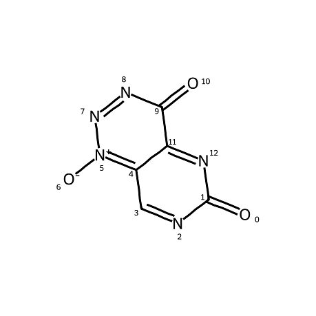 O=C1N=CC2=[N+]([O-])N=NC(=O)C2=N1